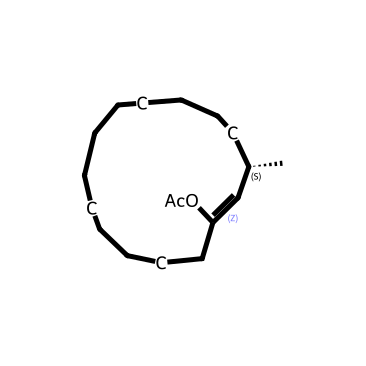 CC(=O)O/C1=C\[C@@H](C)CCCCCCCCCCCC1